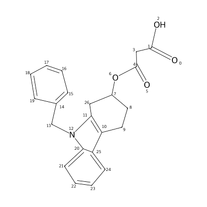 O=C(O)CC(=O)OC1CCc2c(n(Cc3ccccc3)c3ccccc23)C1